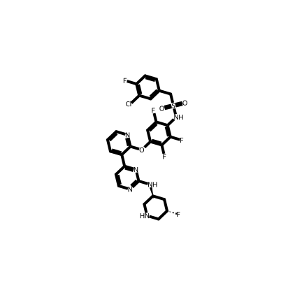 O=S(=O)(Cc1ccc(F)c(Cl)c1)Nc1c(F)cc(Oc2ncccc2-c2ccnc(N[C@@H]3CNC[C@@H](F)C3)n2)c(F)c1F